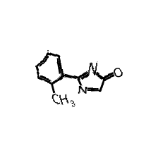 Cc1cc[c]cc1C1=NC(=O)C=N1